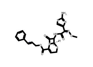 CO/N=C(\C(=O)NC1C(=O)N2C(C(=O)OC/C=C/c3ccccc3)=CCS[C@H]12)c1csc(N)n1